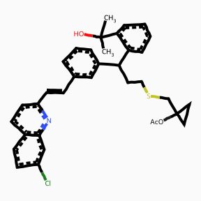 CC(=O)OC1(CSCCC(c2cccc(C=Cc3ccc4ccc(Cl)cc4n3)c2)c2ccccc2C(C)(C)O)CC1